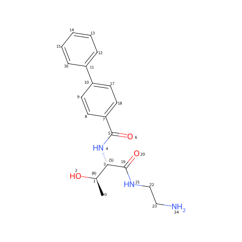 C[C@@H](O)[C@H](NC(=O)c1ccc(-c2ccccc2)cc1)C(=O)NCCN